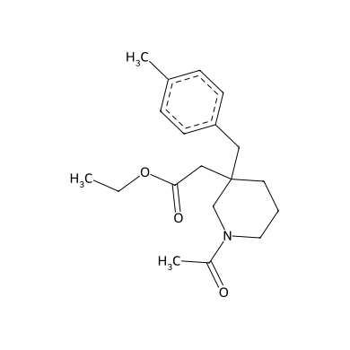 CCOC(=O)CC1(Cc2ccc(C)cc2)CCCN(C(C)=O)C1